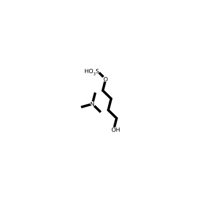 CN(C)C.O=S(=O)(O)OCCCCO